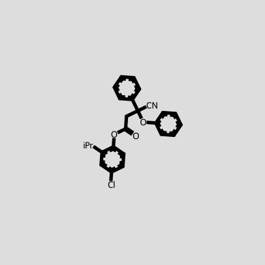 CC(C)c1cc(Cl)ccc1OC(=O)CC(C#N)(Oc1ccccc1)c1ccccc1